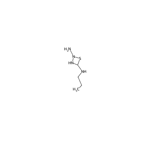 CCCNC1NN(N)S1